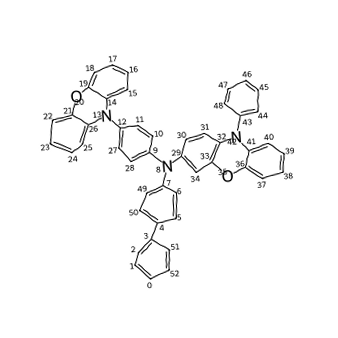 c1ccc(-c2ccc(N(c3ccc(N4c5ccccc5Oc5ccccc54)cc3)c3ccc4c(c3)Oc3ccccc3N4c3ccccc3)cc2)cc1